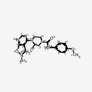 COc1ccc(NC(=O)N2CCN(c3ncnc4c3CN(N)S4)C(C)C2)cc1